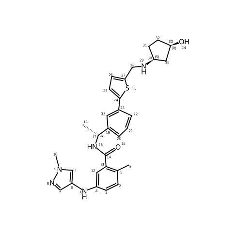 Cc1ccc(Nc2cnn(C)c2)cc1C(=O)N[C@H](C)c1cccc(-c2ccc(CN[C@H]3CC[C@@H](O)C3)s2)c1